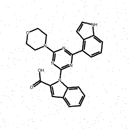 O=C(O)c1cc2ccccc2n1-c1nc(-c2cccc3[nH]ccc23)nc(N2CCOCC2)n1